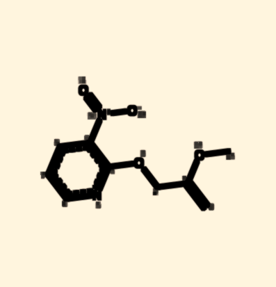 C=C(COc1ncccc1[N+](=O)[O-])OC